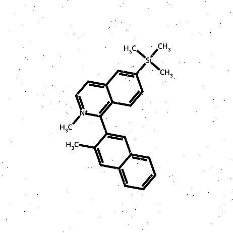 Cc1cc2ccccc2cc1-c1c2ccc([Si](C)(C)C)cc2cc[n+]1C